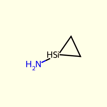 N[SiH]1CC1